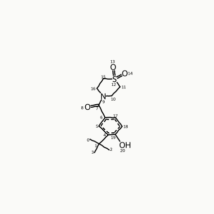 CC(C)(C)c1cc(C(=O)N2CCS(=O)(=O)CC2)ccc1O